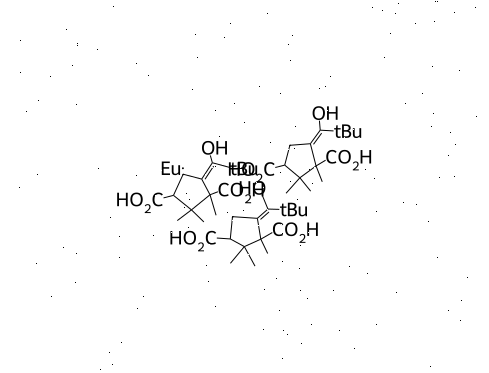 CC(C)(C)C(O)=C1CC(C(=O)O)C(C)(C)C1(C)C(=O)O.CC(C)(C)C(O)=C1CC(C(=O)O)C(C)(C)C1(C)C(=O)O.CC(C)(C)C(O)=C1CC(C(=O)O)C(C)(C)C1(C)C(=O)O.[Eu]